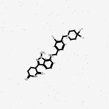 Cn1nc(C2CCC(=O)NC2=O)c2cccc(NCc3ccc(CN4CCC(F)(F)CC4)c(F)c3)c21